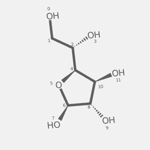 OC[C@H](O)[C@@H]1O[C@H](O)[C@@H](O)[C@@H]1O